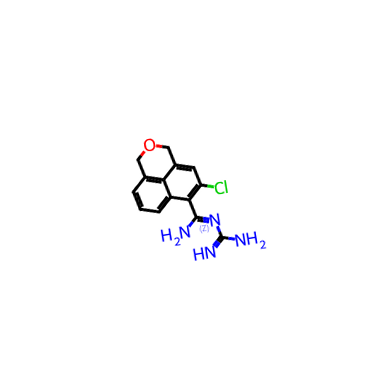 N=C(N)/N=C(\N)c1c(Cl)cc2c3c(cccc13)COC2